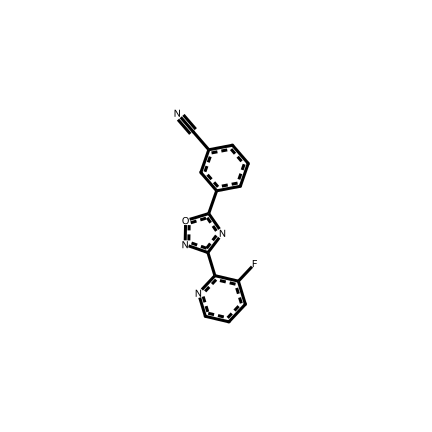 N#Cc1cccc(-c2nc(-c3ncccc3F)no2)c1